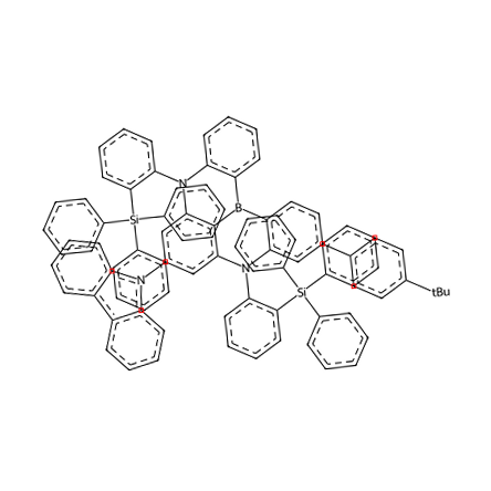 CC(C)(C)c1ccc(-c2ccc3c(c2)N(c2ccccc2[Si](c2ccccc2)(c2ccccc2)c2ccccc2)c2cc(-n4c5ccccc5c5ccccc54)cc4c2B3c2ccccc2N4c2ccccc2[Si](c2ccccc2)(c2ccccc2)c2ccccc2)cc1